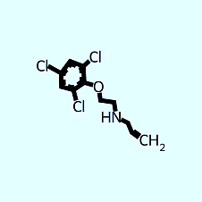 C=CCNCCOc1c(Cl)cc(Cl)cc1Cl